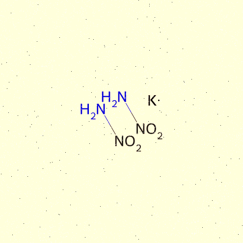 N[N+](=O)[O-].N[N+](=O)[O-].[K]